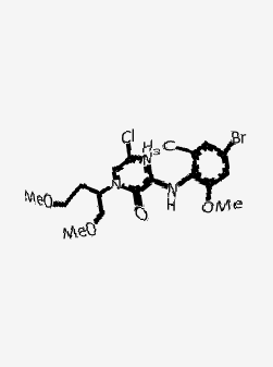 COCCC(COC)n1cc(Cl)nc(Nc2c(C)cc(Br)cc2OC)c1=O